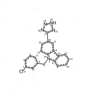 Clc1cccc(Cn2c3ccccc3c3cc(-c4nn[nH]n4)ccc32)c1